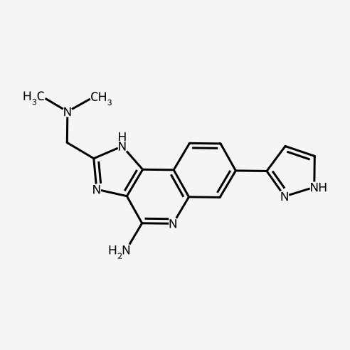 CN(C)Cc1nc2c(N)nc3cc(-c4cc[nH]n4)ccc3c2[nH]1